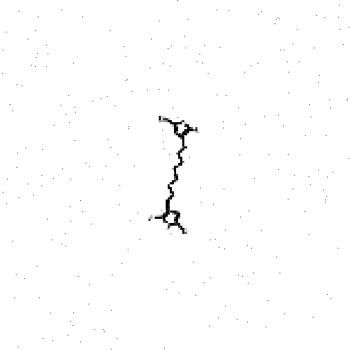 Brc1cc(CCCCCCCCc2cc(Br)sc2Br)c(Br)s1